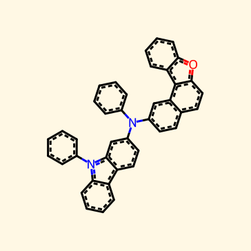 c1ccc(N(c2ccc3ccc4oc5ccccc5c4c3c2)c2ccc3c4ccccc4n(-c4ccccc4)c3c2)cc1